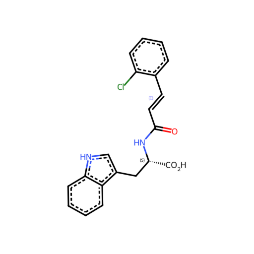 O=C(/C=C/c1ccccc1Cl)N[C@@H](Cc1c[nH]c2ccccc12)C(=O)O